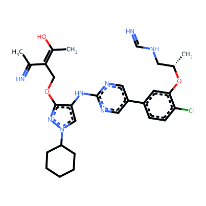 CC(=N)/C(COc1nn(C2CCCCC2)cc1Nc1ncc(-c2ccc(Cl)c(O[C@@H](C)CNC=N)c2)cn1)=C(/C)O